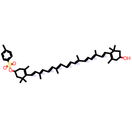 CC1=C(/C=C/C(C)=C/C=C/C(C)=C/C=C/C=C(C)/C=C/C=C(C)/C=C/C2=C(C)CC(OS(=O)(=O)c3ccc(C)cc3)CC2(C)C)C(C)(C)CC(O)C1